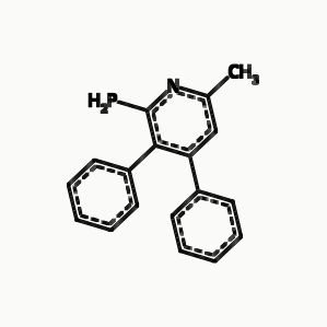 Cc1cc(-c2ccccc2)c(-c2ccccc2)c(P)n1